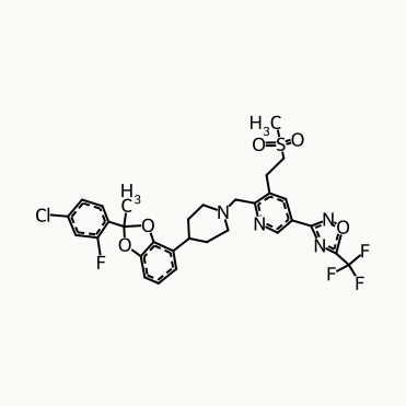 CC1(c2ccc(Cl)cc2F)Oc2cccc(C3CCN(Cc4ncc(-c5noc(C(F)(F)F)n5)cc4CCS(C)(=O)=O)CC3)c2O1